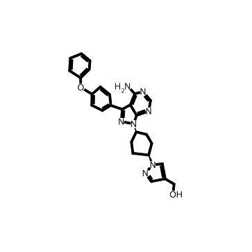 Nc1ncnc2c1c(-c1ccc(Oc3ccccc3)cc1)nn2[C@H]1CC[C@H](n2cc(CO)cn2)CC1